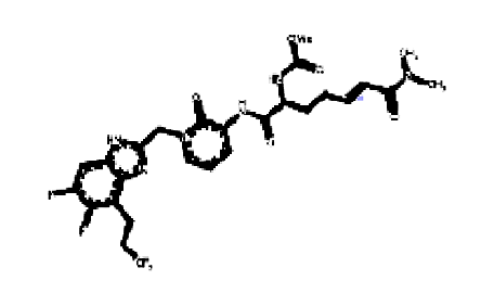 COC(=O)NC(CC/C=C/C(=O)N(C)C)C(=O)Nc1cccn(Cc2nc3c(CCC(F)(F)F)c(F)c(F)cc3[nH]2)c1=O